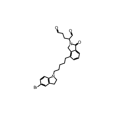 O=CCCC(C=O)N1Cc2c(CCCCCN3CCc4cc(Br)ccc43)cccc2C1=O